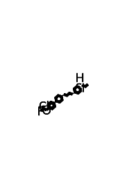 CCC[Si@H]1CC[C@H](CCCC[C@H]2CC[C@H](c3ccc(OC(F)Cl)cc3)CC2)CC1